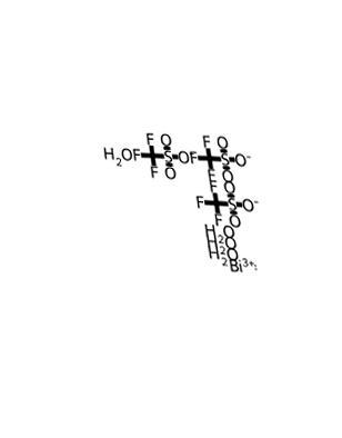 O.O.O.O.O=S(=O)([O-])C(F)(F)F.O=S(=O)([O-])C(F)(F)F.O=S(=O)([O-])C(F)(F)F.[Bi+3]